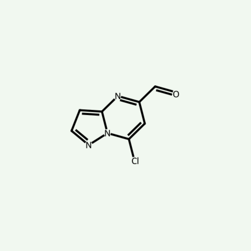 O=Cc1cc(Cl)n2nccc2n1